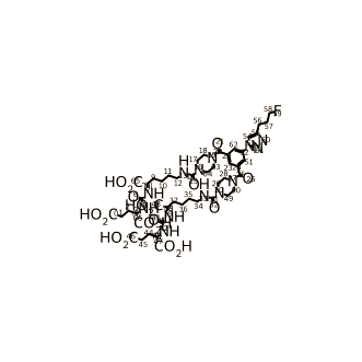 O=C(O)CC[C@H](NC(=O)N[C@@H](CCCCNC(=O)N1CCN(C(=O)c2cc(C(=O)N3CCN(C(=O)NCCCC[C@@H](NC(=O)N[C@H](CCC(=O)O)C(=O)O)C(=O)O)CC3)cc(-n3cc(CCCF)nn3)c2)CC1)C(=O)O)C(=O)O